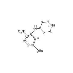 CC(C)(C)c1ccc([N+](=O)[O-])c(NC2CCNCC2)c1